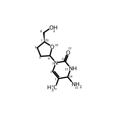 CC1=CN(C2CC[C@@H](CO)O2)C(=O)NC1N